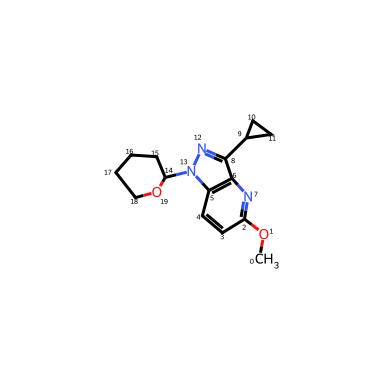 COc1ccc2c(n1)c(C1CC1)nn2C1CCCCO1